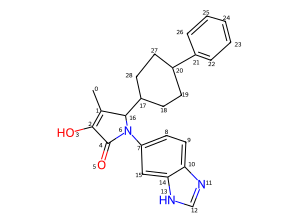 CC1=C(O)C(=O)N(c2ccc3nc[nH]c3c2)C1C1CCC(c2ccccc2)CC1